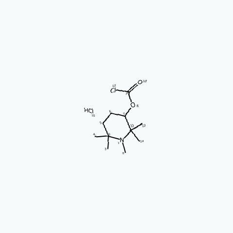 CN1C(C)(C)CCC(OC(=O)Cl)C1(C)C.Cl